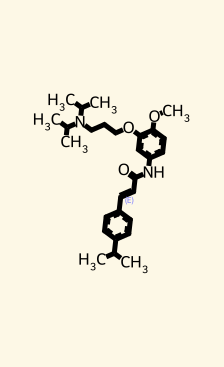 COc1ccc(NC(=O)/C=C/c2ccc(C(C)C)cc2)cc1OCCCN(C(C)C)C(C)C